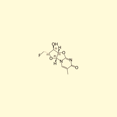 Cc1cn2c(nc1=O)O[C@H]1[C@H](O)[C@@H](CF)O[C@H]12